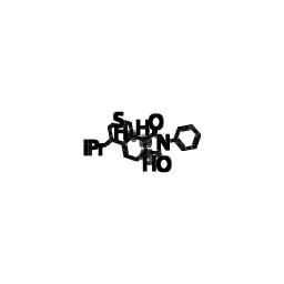 CC(C)C1CSC[C@@H]2C1=CC[C@@H]1C(=O)N(c3ccccc3)C(=O)[C@@H]12